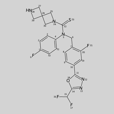 Fc1ccc(N(Cc2ccc(-c3nnc(C(F)F)o3)cc2F)C(=S)N2CC3(CNC3)C2)cc1